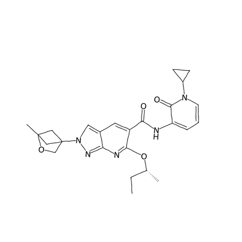 CC[C@@H](C)Oc1nc2nn(C34COC(C)(C3)C4)cc2cc1C(=O)Nc1cccn(C2CC2)c1=O